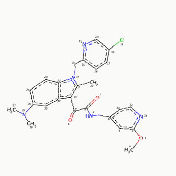 COc1cc(NC(=O)C(=O)c2c(C)n(Cc3ccc(Cl)cn3)c3ccc(N(C)C)cc23)ccn1